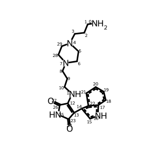 NCCCN1CCN(CCCNC2=C(c3c[nH]c4ccccc34)C(=O)NC2=O)CC1